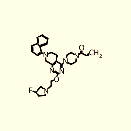 C=CC(=O)N1CCN(c2nc(OCCN3CCC(F)C3)nc3c2CCN(c2cccc4ccccc24)C3)CC1